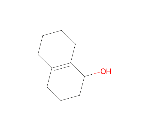 OC1CCCC2=C1CCCC2